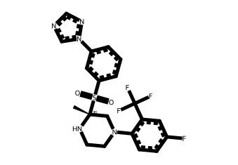 C[C@@]1(S(=O)(=O)c2cccc(-n3cncn3)c2)CN(c2ccc(F)cc2C(F)(F)F)CCN1